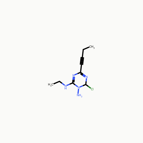 CCC#CC1=NC(Cl)N(N)C(NCC)=N1